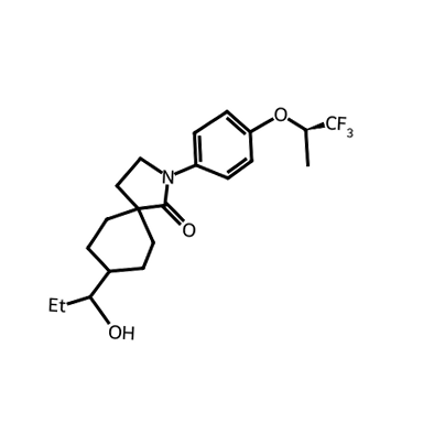 CCC(O)C1CCC2(CC1)CCN(c1ccc(O[C@H](C)C(F)(F)F)cc1)C2=O